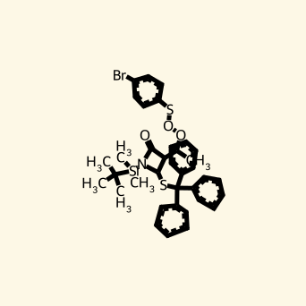 CC(OOSc1ccc(Br)cc1)C1C(=O)N([Si](C)(C)C(C)(C)C)C1SC(c1ccccc1)(c1ccccc1)c1ccccc1